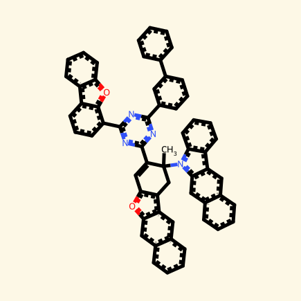 CC1(n2c3ccccc3c3cc4ccccc4cc32)Cc2c(oc3cc4ccccc4cc23)C=C1c1nc(-c2cccc(-c3ccccc3)c2)nc(-c2cccc3c2oc2ccccc23)n1